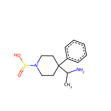 CC(N)C1(c2ccccc2)CCN(S(=O)O)CC1